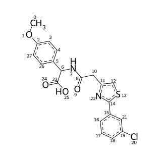 COc1ccc(C(NC(=O)Cc2csc(-c3cccc(Cl)c3)n2)C(=O)O)cc1